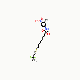 CC(O)(CCCCCCCCCSCCCC(F)(F)C(F)(F)F)C(=O)Nc1ccc([N+](=O)O)c(C(F)(F)F)c1